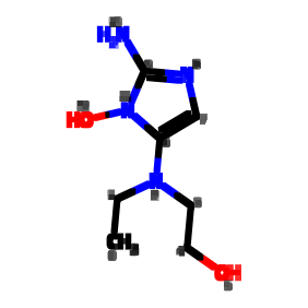 CCN(CCO)c1cnc(N)n1O